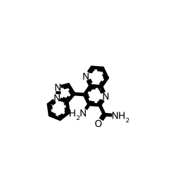 NC(=O)c1nc2cccnc2c(-c2cnn3ccccc23)c1N